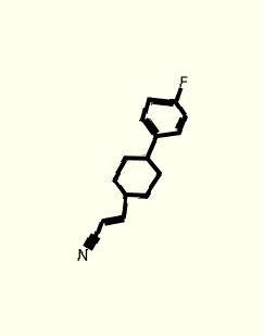 N#CC=CC1CCC(c2ccc(F)cc2)CC1